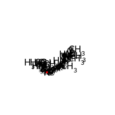 COC(=O)N[C@H](C(=O)N1CCC[C@H]1c1ncc(-c2cc3cc(-c4ccc5c(ccc6nc([C@@H]7CCCN7C(=O)[C@@H](NC(=O)OC)C(C)C)[nH]c65)c4)ccc3n2C)[nH]1)C(C)C